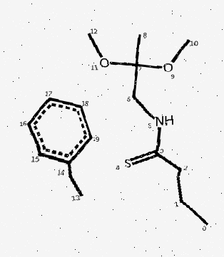 CCCC(=S)NCC(C)(OC)OC.Cc1ccccc1